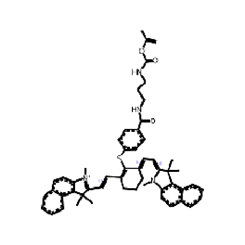 C=C(C)OC(=O)NCCCNC(=O)c1ccc(SC2=C(/C=C/C3=[N+](C)c4ccc5ccccc5c4C3(C)C)CCC/C2=C\C=C2/N(C)c3ccc4ccccc4c3C2(C)C)cc1